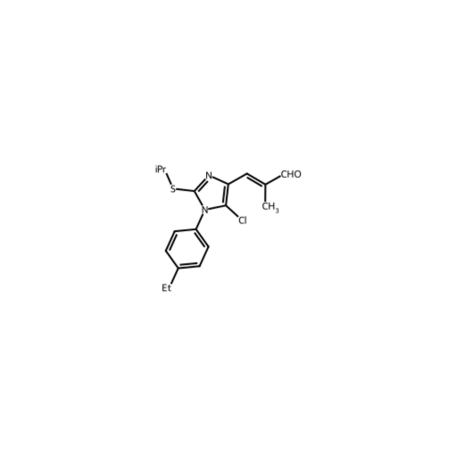 CCc1ccc(-n2c(SC(C)C)nc(C=C(C)C=O)c2Cl)cc1